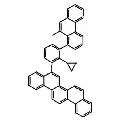 Cc1cc2ccccc2c2cccc(-c3cccc(-c4cc5c(ccc6c7ccccc7ccc65)c5ccccc45)c3C3CC3)c12